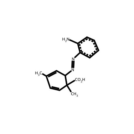 CC1=CC(/N=N/c2ccccc2N)C(C)(C(=O)O)C=C1